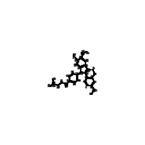 COc1ccc2c(c1)CCC1=C2C(c2ccc(OCCN(C)C)cc2)c2cc(F)c(OC)cc21